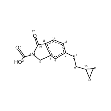 O=C(O)N1Cc2cc(SCC3CC3)ccc2C1=O